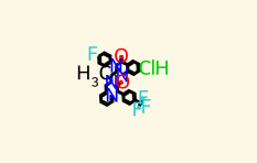 CC(c1nc2ccccc2c(=O)n1-c1ccc(F)cc1)N(Cc1ccccn1)C(=O)Cc1ccc(C(F)(F)F)cc1.Cl